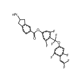 CCCC1Cc2ccc(C(=O)Oc3cc(F)c(C(F)(F)Oc4cc(F)c(C=C(F)F)c(F)c4)c(F)c3)cc2C1